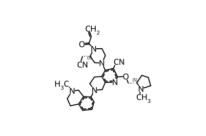 C=CC(=O)N1CCN(c2c(C#N)c(OC[C@@H]3CCCN3C)nc3c2CCN(c2cccc4c2CN(C)CC4)C3)C[C@@H]1CC#N